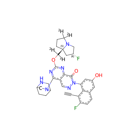 [2H]C1([2H])CC[C@@]2(C([2H])([2H])Oc3nc(N4CC5CCC4CN5)c4cnn(-c5cc(O)cc6ccc(F)c(C#C)c56)c(=O)c4n3)C[C@@H](F)CN12